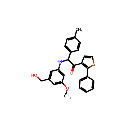 COc1cc(CO)cc(NC(C(=O)c2ccsc2-c2ccccc2)c2ccc(C)cc2)c1